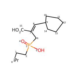 CC(C)CCP(=O)(O)C/C(=C\C1CCCCC1)C(=O)O